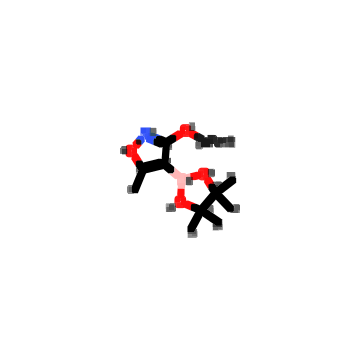 CCCCCOc1noc(C)c1B1OC(C)(C)C(C)(C)O1